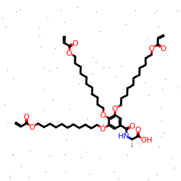 C=CC(=O)OCCCCCCCCCCCOc1cc(C(=O)N[C@@H](C)C(=O)O)cc(OCCCCCCCCCCCOC(=O)C=C)c1OCCCCCCCCCCCOC(=O)C=C